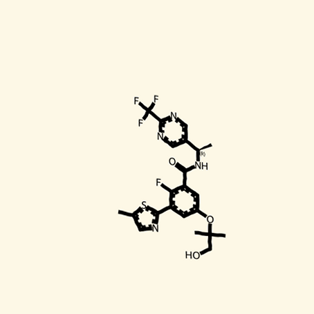 Cc1cnc(-c2cc(OC(C)(C)CO)cc(C(=O)N[C@H](C)c3cnc(C(F)(F)F)nc3)c2F)s1